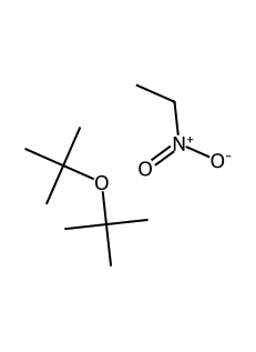 CC(C)(C)OC(C)(C)C.CC[N+](=O)[O-]